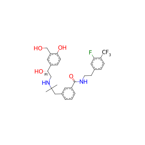 CC(C)(Cc1cccc(C(=O)NCCc2ccc(C(F)(F)F)c(F)c2)c1)NC[C@H](O)c1ccc(O)c(CO)c1